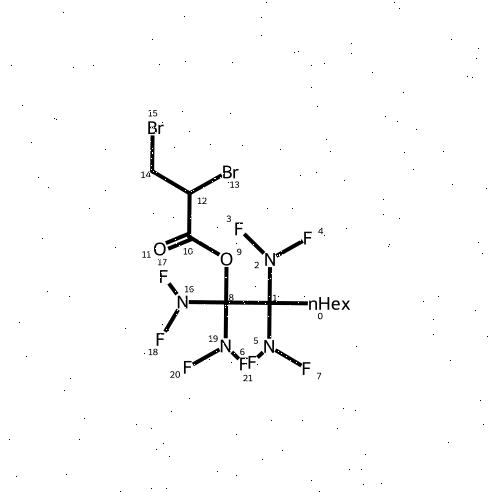 CCCCCCC(N(F)F)(N(F)F)C(OC(=O)C(Br)CBr)(N(F)F)N(F)F